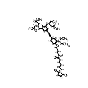 CCN(CC(=O)O)Cc1cc(C#Cc2ccc(OCCCNC(=O)CCCCCN3C(=O)C=CC3=O)c(N(CC)CC)c2)cc(CN(CC(=O)O)CC(=O)O)n1